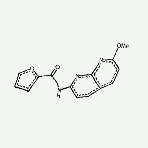 COc1ccc2ccc(NC(=O)c3ccco3)nc2n1